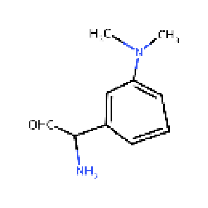 CN(C)c1cccc(C(N)C=O)c1